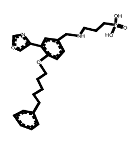 O=P(O)(O)CCCNCc1ccc(OCCCCCc2ccccc2)c(-c2cocn2)c1